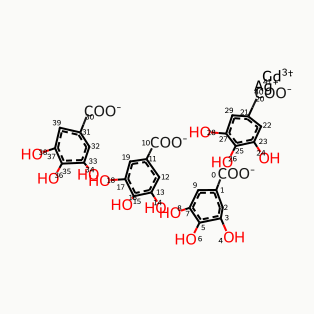 O=C([O-])c1cc(O)c(O)c(O)c1.O=C([O-])c1cc(O)c(O)c(O)c1.O=C([O-])c1cc(O)c(O)c(O)c1.O=C([O-])c1cc(O)c(O)c(O)c1.[Ag+].[Gd+3]